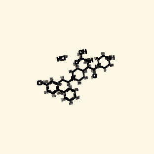 Cl.O=C(O)N[C@@H](C(=O)N1CCNCC1)C1CCN(CCc2cc(Cl)ccc2-c2ccccc2)CC1